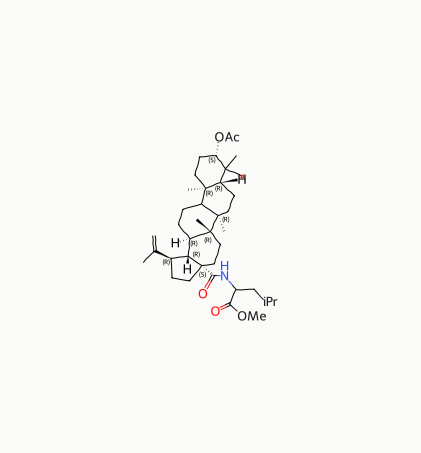 C=C(C)[C@@H]1CC[C@]2(C(=O)NC(CC(C)C)C(=O)OC)CC[C@]3(C)[C@H](CCC4[C@@]5(C)CC[C@H](OC(C)=O)C(C)(C)[C@@H]5CC[C@]43C)[C@@H]12